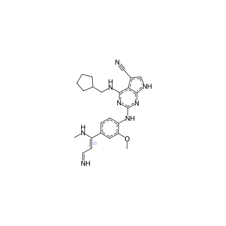 CN/C(=C\C=N)c1ccc(Nc2nc(NCC3CCCC3)c3c(C#N)c[nH]c3n2)c(OC)c1